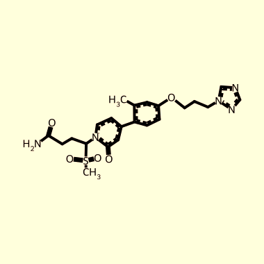 Cc1cc(OCCCn2cncn2)ccc1-c1ccn(C(CCC(N)=O)S(C)(=O)=O)c(=O)c1